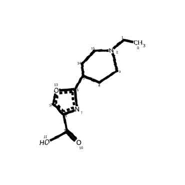 CCN1CCC(c2nc(C(=O)O)co2)CC1